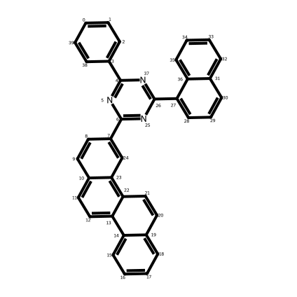 c1ccc(-c2nc(-c3ccc4ccc5c6ccccc6ccc5c4c3)nc(-c3cccc4ccccc34)n2)cc1